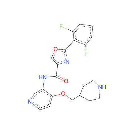 O=C(Nc1cnccc1OCC1CCNCC1)c1coc(-c2c(F)cccc2F)n1